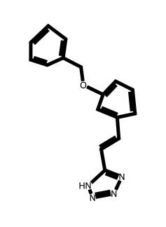 C(=Cc1nnn[nH]1)c1cccc(OCc2ccccc2)c1